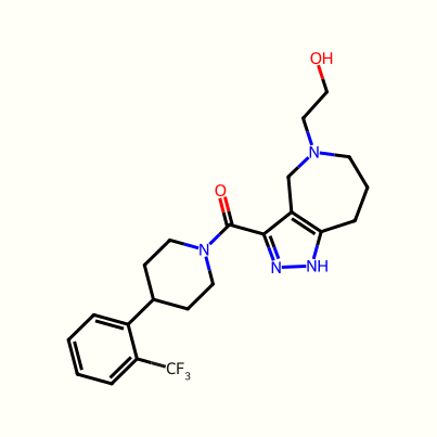 O=C(c1n[nH]c2c1CN(CCO)CCC2)N1CCC(c2ccccc2C(F)(F)F)CC1